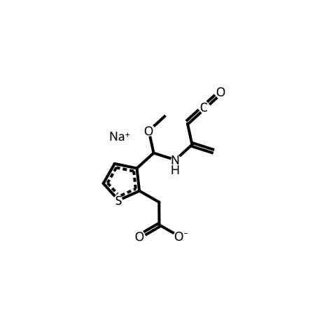 C=C(C=C=O)NC(OC)c1ccsc1CC(=O)[O-].[Na+]